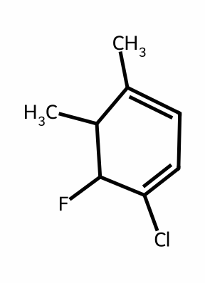 CC1=CC=C(Cl)C(F)C1C